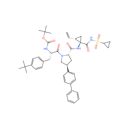 C=C[C@@H]1C[C@]1(NC(=O)[C@@H]1C[C@@H](c2ccc(-c3ccccc3)cc2)CN1C(=O)[C@H](Cc1ccc(C(C)(C)C)cc1)NC(=O)OC(C)(C)C)C(=O)NS(=O)(=O)C1CC1